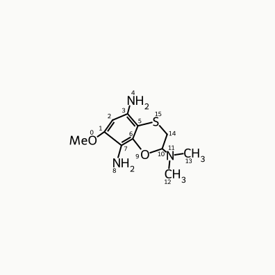 COc1cc(N)c2c(c1N)OC(N(C)C)CS2